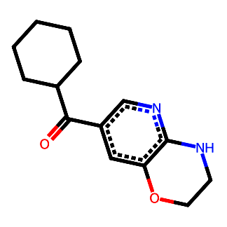 O=C(c1cnc2c(c1)OCCN2)C1CCCCC1